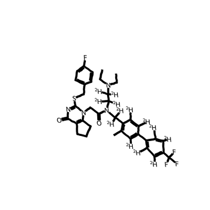 [2H]c1c([2H])c(C(F)(F)F)c([2H])c([2H])c1-c1c([2H])c([2H])c(C([2H])([2H])N(C(=O)Cn2c(SCc3ccc(F)cc3)nc(=O)c3c2CCC3)C([2H])([2H])C([2H])([2H])N(CC)CC)c(C)c1[2H]